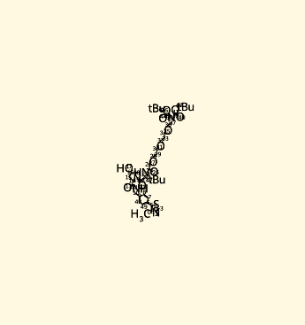 Cc1ncsc1-c1ccc(CNC(=O)[C@H]2C[C@H](O)CN2C(=O)[C@H](NC(=O)COCCCOCCCOCCN(C(=O)OC(C)(C)C)C(=O)OC(C)(C)C)C(C)(C)C)cc1